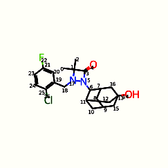 CC1(C)C(=O)N(C2C3CC4CC2CC(O)(C4)C3)N1Cc1cc(F)ccc1Cl